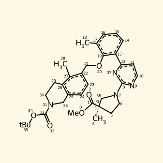 COC(=O)[C@]1(C)CCN(c2nccc(-c3cccc(C)c3OCc3ccc4c(c3C)CCN(C(=O)OC(C)(C)C)C4)n2)C1